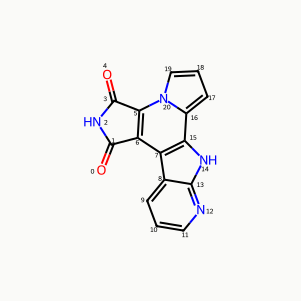 O=C1NC(=O)c2c1c1c3cccnc3[nH]c1c1cccn21